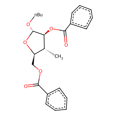 CCCCO[C@H]1O[C@H](COC(=O)c2ccccc2)[C@@H](C)[C@@H]1OC(=O)c1ccccc1